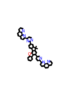 CC1(C)c2cc(-c3nccc(-c4ccc5ccc6cccnc6c5n4)n3)ccc2-c2c1cc(-c1ccc(-c3ccc4ccc5cccnc5c4n3)nc1)c1c2oc2ccccc21